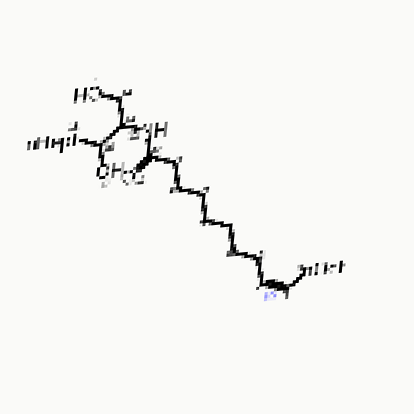 CCCCCCCC/C=C\CCCCCCCC(=O)NC(CO)C(O)CCCCCCC